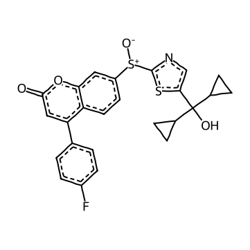 O=c1cc(-c2ccc(F)cc2)c2ccc([S+]([O-])c3ncc(C(O)(C4CC4)C4CC4)s3)cc2o1